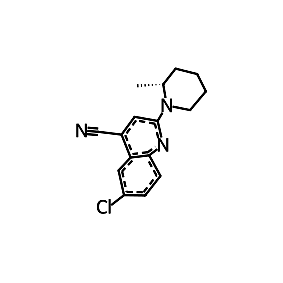 C[C@@H]1CCCCN1c1cc(C#N)c2cc(Cl)ccc2n1